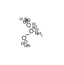 CCCC(=O)Oc1cccc(C=Cc2cc(C(N)=O)c(N)c(-c3ccc(S(N)(=O)=O)cc3)c2)c1